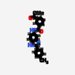 COC(=O)c1cccc(C(=O)Nc2ccc3[nH]c(-c4ccc(C)cc4)nc3c2)c1